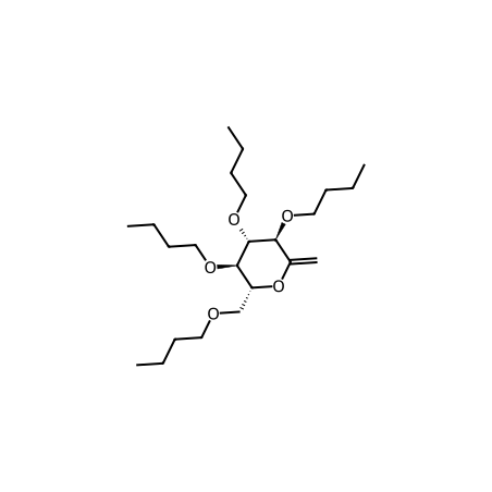 C=C1O[C@H](COCCCC)[C@@H](OCCCC)[C@H](OCCCC)[C@H]1OCCCC